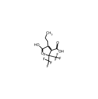 CCC/C(C(=O)O)=C(\C(=O)O)C(F)(C(F)(F)F)C(F)(F)F